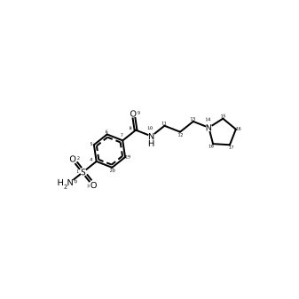 NS(=O)(=O)c1ccc(C(=O)NCCCN2CCCC2)cc1